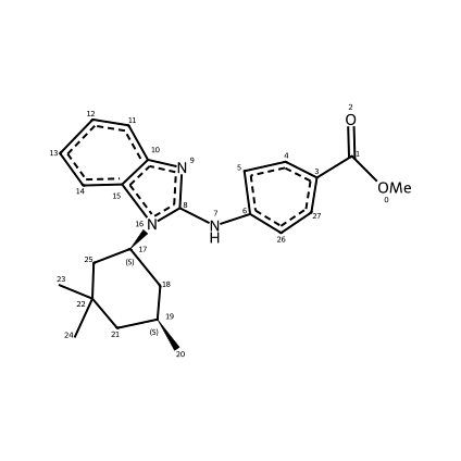 COC(=O)c1ccc(Nc2nc3ccccc3n2[C@H]2C[C@@H](C)CC(C)(C)C2)cc1